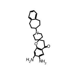 Nc1cc2c(cc1N)C(=O)CC1(CCN(C3CCc4ccccc4CC3)CC1)O2